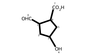 O=CC1CC(O)CC1C(=O)O